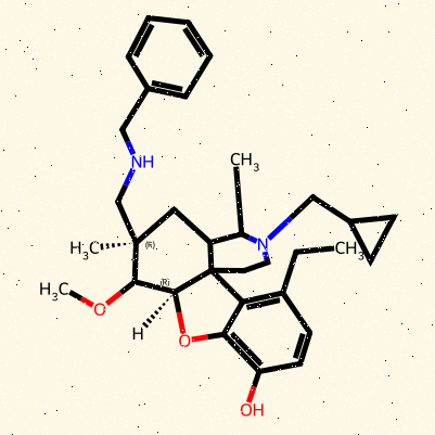 CCc1ccc(O)c2c1C13CCN(CC4CC4)C(C)C1C[C@](C)(CNCc1ccccc1)C(OC)[C@@H]3O2